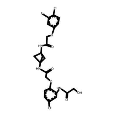 O=C(CO)Nc1cc(Cl)ccc1OCC(=O)NC12CC(NC(=O)COc3ccc(Cl)c(F)c3)(C1)C2